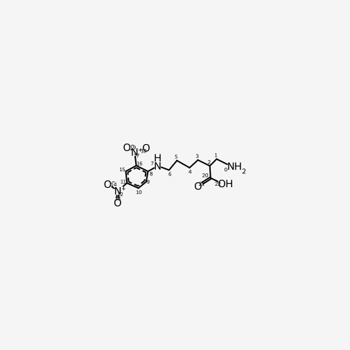 NCC(CCCCNc1ccc([N+](=O)[O-])cc1[N+](=O)[O-])C(=O)O